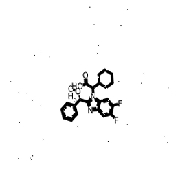 CO[C@@H](c1ccccc1)c1nc2cc(F)c(F)cc2n1C(C(=O)O)C1CCCCC1